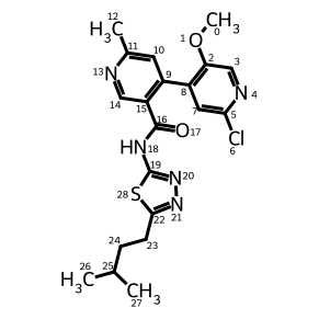 COc1cnc(Cl)cc1-c1cc(C)ncc1C(=O)Nc1nnc(CCC(C)C)s1